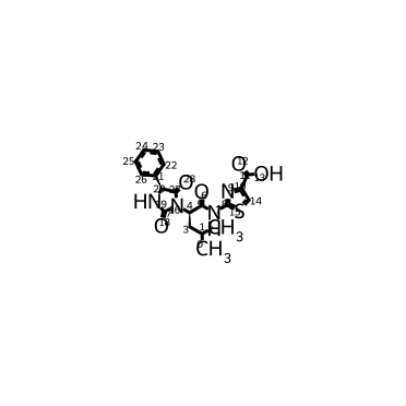 CC(C)C[C@H](C(=O)Nc1nc(C(=O)O)cs1)N1C(=O)N[C@@H](c2ccccc2)C1=O